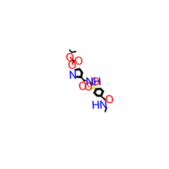 CCNC(=O)c1ccc(S(=O)(=O)NC(=O)c2ccc(OC(=O)OC(C)C)nc2)cc1